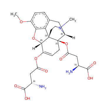 COc1ccc2c3c1O[C@H]1C(OC(=O)C[C@H](N)C(=O)O)=CC[C@@]4(OC(=O)C[C@H](N)C(=O)O)[C@@H](C2)N(C)CC[C@]314